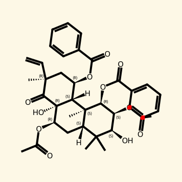 C=C[C@@]1(C)C[C@@H](OC(=O)c2ccccc2)[C@H]2[C@](O)(C1=O)[C@H](OC(C)=O)C[C@H]1C(C)(C)[C@H](O)[C@H](OC(C)=O)[C@H](OC(=O)c3ccccc3)[C@@]12C